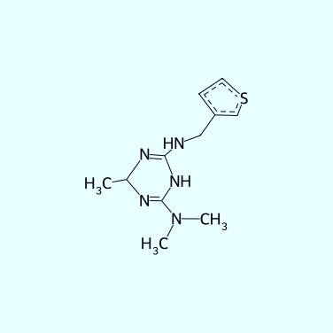 CC1N=C(NCc2ccsc2)NC(N(C)C)=N1